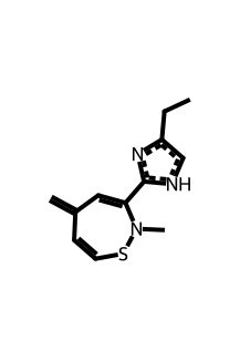 C=C1C=CSN(C)C(c2nc(CC)c[nH]2)=C1